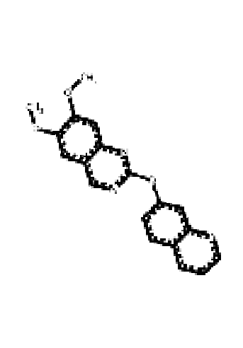 COc1cc2cnc(Oc3ccc4cccnc4c3)nc2cc1OC